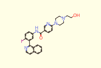 O=C(Nc1ccc(I)c(-c2nccc3ccccc23)c1)c1ccc(N2CCN(CCO)CC2)nc1